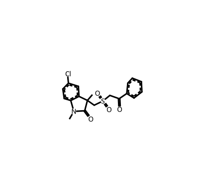 CN1C(=O)C(C)(CS(=O)(=O)CC(=O)c2ccccc2)c2cc(Cl)ccc21